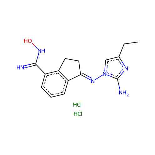 CCc1cn(N=C2CCc3c(C(=N)NO)cccc32)c(N)n1.Cl.Cl